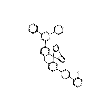 N#Cc1ccccc1-c1ccc(-c2ccc3c(c2)C2(c4cc(-c5nc(-c6ccccc6)nc(-c6ccccc6)n5)ccc4S3)c3ccccc3-c3ccccc32)cc1